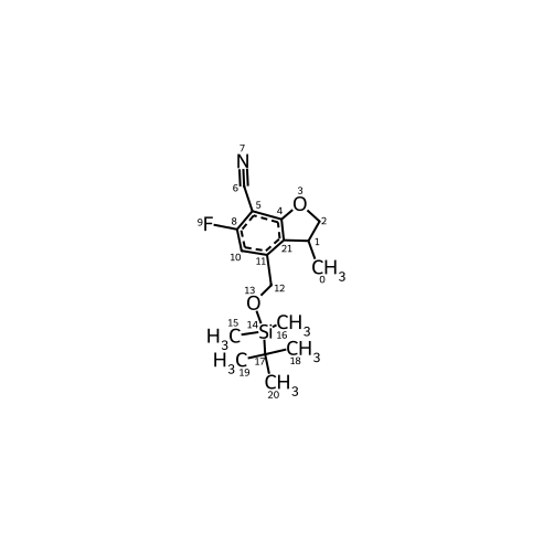 CC1COc2c(C#N)c(F)cc(CO[Si](C)(C)C(C)(C)C)c21